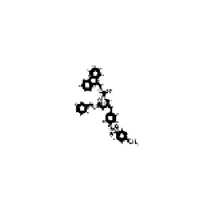 Cc1ccc(S(=O)(=O)Oc2ccc(CC(CNC(=O)OCC3c4ccccc4-c4ccccc43)CC(=O)OCc3ccccc3)cc2)cc1